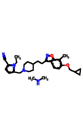 CCn1c(C#N)ccc1CN1CCC(CCc2noc3c(C)c(OCC4CC4)ccc23)CC1.CNC